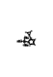 CCC[CH2][Sn]([CH2]CCC)([CH2]CCC)[c]1cnoc1C1CC1